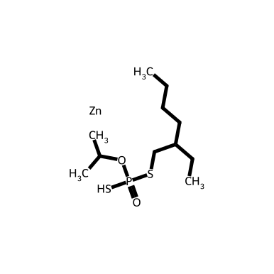 CCCCC(CC)CSP(=O)(S)OC(C)C.[Zn]